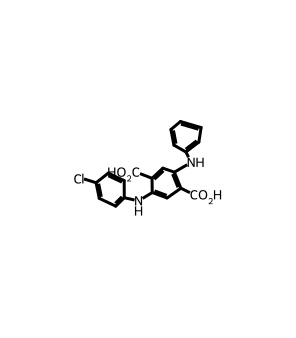 O=C(O)c1cc(Nc2ccc(Cl)cc2)c(C(=O)O)cc1Nc1ccccc1